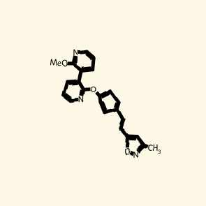 COc1ncccc1-c1cccnc1Oc1ccc(CCc2cc(C)no2)cc1